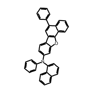 c1ccc(-c2cc3c4ccc(N(c5ccccc5)c5cccc6ccccc56)cc4oc3c3ccccc23)cc1